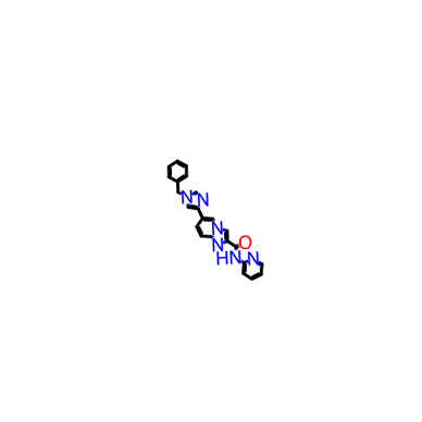 O=C(Nc1ccccn1)c1cn2cc(-c3cn(Cc4ccccc4)cn3)ccc2n1